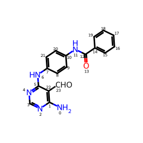 Nc1ncnc(Nc2ccc(NC(=O)c3ccccc3)cc2)c1C=O